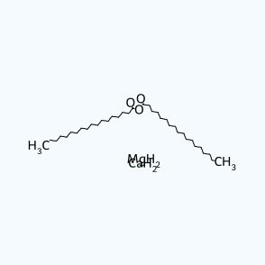 CCCCCCCCCCCCCCCCCC(=O)OC(=O)CCCCCCCCCCCCCCCCC.[CaH2].[MgH2]